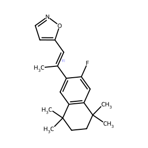 C/C(=C\c1ccno1)c1cc2c(cc1F)C(C)(C)CCC2(C)C